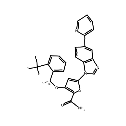 C[C@@H](Oc1cc(-n2cnc3cc(-c4ccccn4)ccc32)sc1C(N)=O)c1ccccc1C(F)(F)F